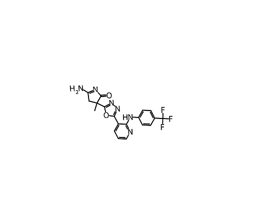 CC1(c2nnc(-c3cccnc3Nc3ccc(C(F)(F)F)cc3)o2)CC(N)=NC1=O